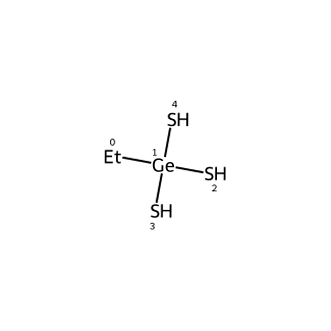 C[CH2][Ge]([SH])([SH])[SH]